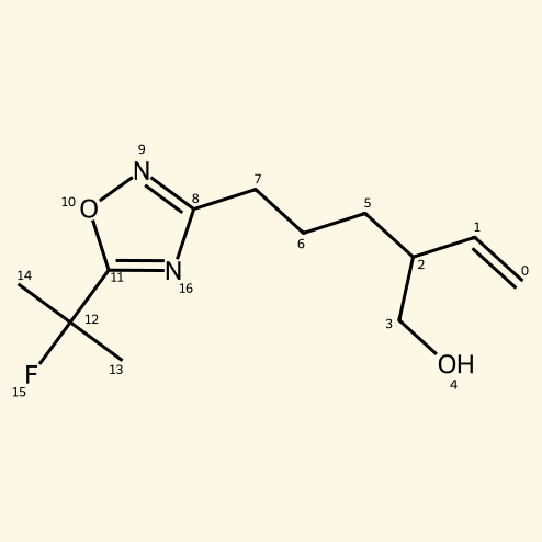 C=CC(CO)CCCc1noc(C(C)(C)F)n1